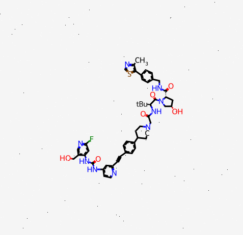 Cc1ncsc1-c1ccc(CNC(=O)[C@@H]2C[C@@H](O)CN2C(=O)[C@@H](NC(=O)CN2CCC(c3ccc(C#Cc4cc(NC(=O)Nc5cc(F)ncc5CO)ccn4)cc3)CC2)C(C)(C)C)cc1